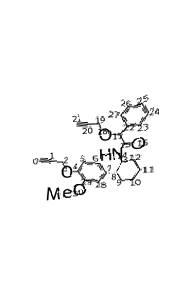 C#CCOc1ccc([C@H]2CCCC[C@@H]2NC(=O)C(OCC#C)c2ccccc2)cc1OC